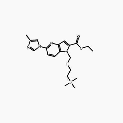 CCOC(=O)c1cc2nc(-n3cnc(C)c3)ccc2n1COCC[Si](C)(C)C